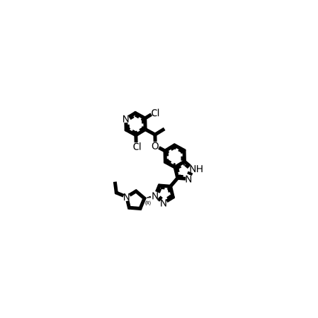 CCN1CC[C@@H](n2cc(-c3n[nH]c4ccc(OC(C)c5c(Cl)cncc5Cl)cc34)cn2)C1